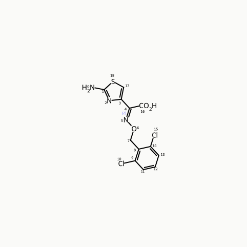 Nc1nc(/C(=N/OCc2c(Cl)cccc2Cl)C(=O)O)cs1